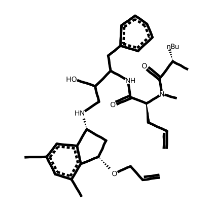 C=CCO[C@H]1C[C@@H](NCC(O)C(Cc2ccccc2)NC(=O)[C@H](CC=C)N(C)C(=O)[C@@H](C)CCCC)c2cc(C)cc(C)c21